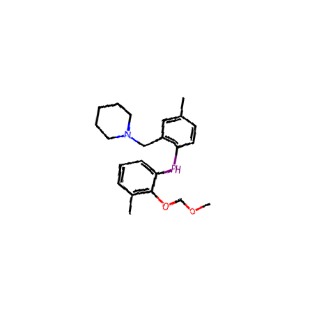 COCOc1c(C)cccc1Pc1ccc(C)cc1CN1CCCCC1